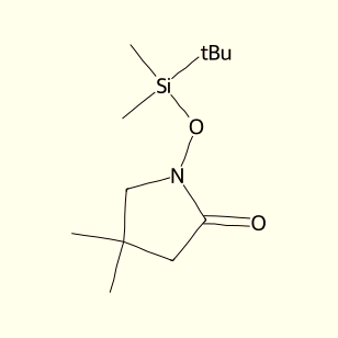 CC1(C)CC(=O)N(O[Si](C)(C)C(C)(C)C)C1